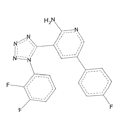 Nc1ncc(-c2ccc(F)cc2)cc1-c1nnnn1-c1cccc(F)c1F